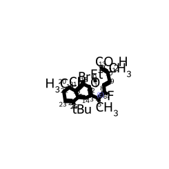 CCOc1c(/C(C)=C(/F)C=CC(C)=CC(=O)O)cc2c(c1Br)C(C)(C)CC=C2C(C)(C)C